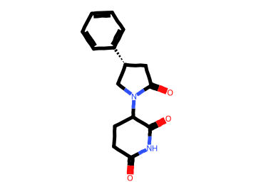 O=C1CCC(N2C[C@H](c3ccccc3)CC2=O)C(=O)N1